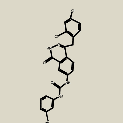 COc1cccc(NC(=O)Nc2ccc3c(Cc4ccc(Cl)cc4Cl)n[nH]c(=O)c3c2)c1